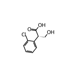 O=C(O)[C@H](CO)c1ccccc1Cl